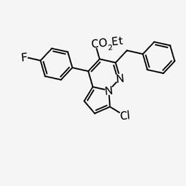 CCOC(=O)c1c(Cc2ccccc2)nn2c(Cl)ccc2c1-c1ccc(F)cc1